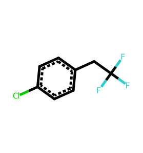 FC(F)(F)Cc1ccc(Cl)cc1